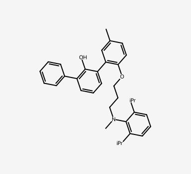 Cc1ccc(OCCCN(C)c2c(C(C)C)cccc2C(C)C)c(-c2cccc(-c3ccccc3)c2O)c1